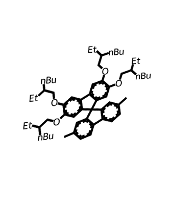 CCCCC(CC)COc1cc2c(cc1OCC(CC)CCCC)C1(c3cc(C)ccc3-c3ccc(C)cc31)c1cc(OCC(CC)CCCC)c(OCC(CC)CCCC)cc1-2